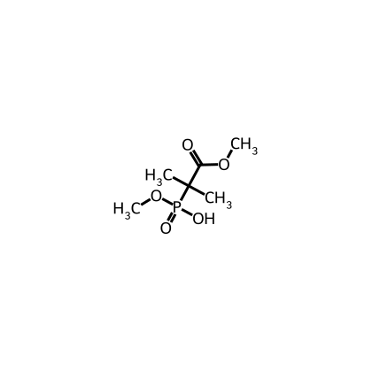 COC(=O)C(C)(C)P(=O)(O)OC